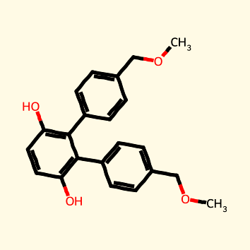 COCc1ccc(-c2c(O)ccc(O)c2-c2ccc(COC)cc2)cc1